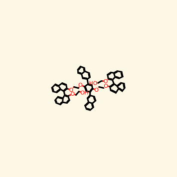 OCCOc1ccc2ccccc2c1-c1c(OCCOc2cc(-c3ccc4ccccc4c3)c(OCCOc3ccc4ccccc4c3-c3c(OCCO)ccc4ccccc34)cc2-c2ccc3ccccc3c2)ccc2ccccc12